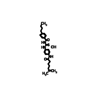 CCCCc1ccc(C(=O)NC(=S)Nc2ccc(NC(=O)CCCCN(C)C)cc2)cc1.Cl